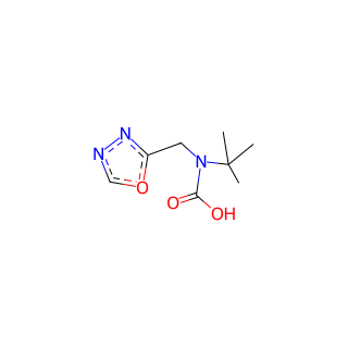 CC(C)(C)N(Cc1nnco1)C(=O)O